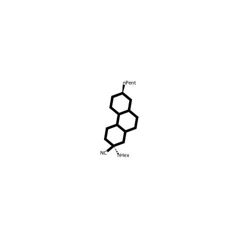 CCCCCC[C@]1(C#N)CCC2C(CCC3C[C@H](CCCCC)CCC32)C1